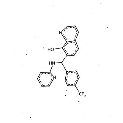 Oc1c(C(Nc2ccccn2)c2ccc(C(F)(F)F)cc2)ccc2cccnc12